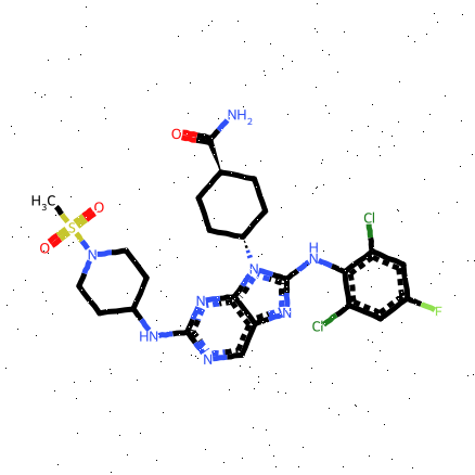 CS(=O)(=O)N1CCC(Nc2ncc3nc(Nc4c(Cl)cc(F)cc4Cl)n([C@H]4CC[C@H](C(N)=O)CC4)c3n2)CC1